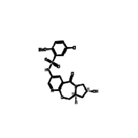 COc1ccc(Cl)cc1S(=O)(=O)Nc1cnc2c(c1)C(=O)N1C[C@H](O)C[C@H]1CO2